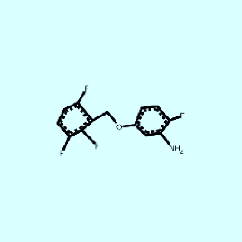 Nc1cc(OCc2c(F)ccc(F)c2F)ccc1F